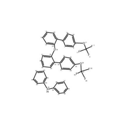 FC(F)(F)Oc1ccc(-c2ccccc2Oc2ccccc2-c2ccc(OC(F)(F)F)cc2)cc1.c1ccc(Pc2ccccc2)cc1